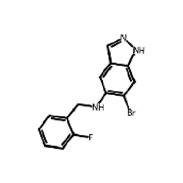 Fc1ccccc1CNc1cc2cn[nH]c2cc1Br